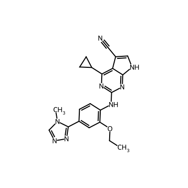 CCOc1cc(-c2nncn2C)ccc1Nc1nc(C2CC2)c2c(C#N)c[nH]c2n1